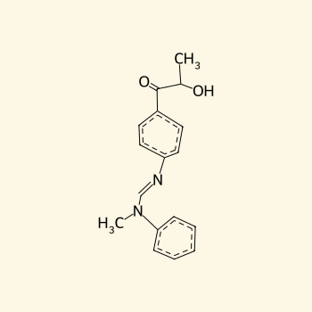 CC(O)C(=O)c1ccc(N=CN(C)c2ccccc2)cc1